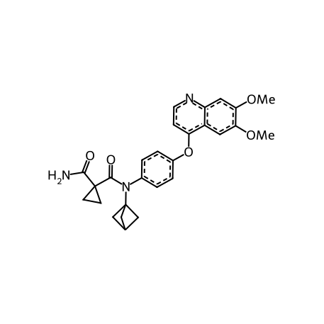 COc1cc2nccc(Oc3ccc(N(C(=O)C4(C(N)=O)CC4)C45CC(C4)C5)cc3)c2cc1OC